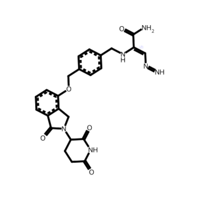 N=N/C=C(\NCc1ccc(COc2cccc3c2CN(C2CCC(=O)NC2=O)C3=O)cc1)C(N)=O